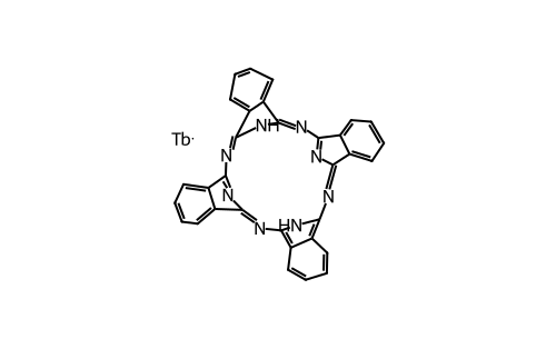 [Tb].c1ccc2c(c1)-c1nc-2nc2[nH]c(nc3nc(nc4[nH]c(n1)c1ccccc41)-c1ccccc1-3)c1ccccc21